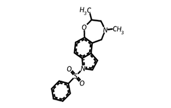 CC1CN(C)Cc2c(ccc3c2ccn3S(=O)(=O)c2ccccc2)O1